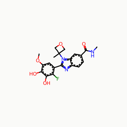 CNC(=O)c1ccc2nc(-c3cc(OC)c(O)c(O)c3F)n(C3(C)COC3)c2c1